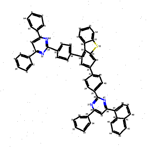 c1ccc(-c2cc(-c3ccccc3)nc(-c3ccc(-c4cc(-c5ccc(-c6nc(-c7ccccc7)cc(-c7cccc8ccccc78)n6)cc5)cc5sc6ccccc6c45)cc3)n2)cc1